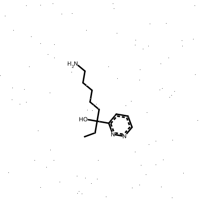 CCC(O)(CCCCCN)c1cccnn1